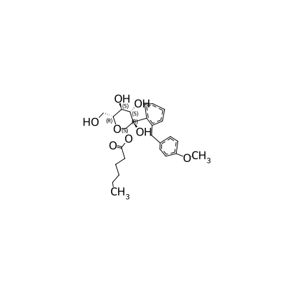 CCCCCC(=O)O[C@@H]1O[C@H](CO)[C@@H](O)[C@H](O)[C@]1(O)c1ccccc1Cc1ccc(OC)cc1